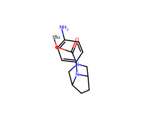 CC(C)(C)OC(=O)N1CC2CCC(C1)N2c1ccc(N)cc1